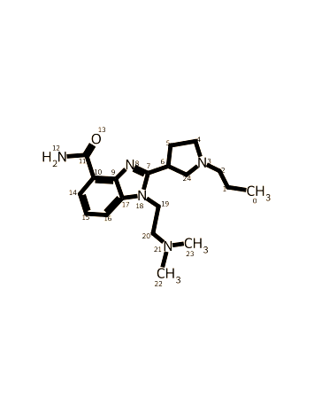 CCCN1CCC(c2nc3c(C(N)=O)cccc3n2CCN(C)C)C1